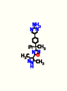 Cc1n[nH]c(C)c1-c1nc(C(C)(c2ccc(-c3cnc(N)nc3)cc2)C(C)C)no1